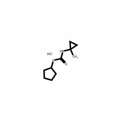 CC1(NC(=O)OC2CCCC2)CC1.Cl